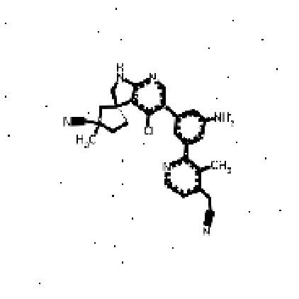 Cc1c(CC#N)ccnc1-c1cc(N)cc(-c2cnc3c(c2Cl)[C@]2(CC[C@](C)(C#N)C2)CN3)c1